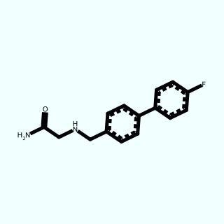 NC(=O)CNCc1ccc(-c2ccc(F)cc2)cc1